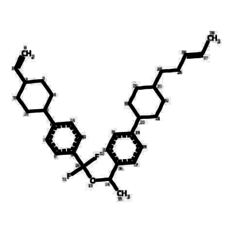 C=CC1CCC(c2ccc(C(F)(F)OC(C)c3ccc(C4CCC(CC/C=C/C)CC4)cc3)cc2)CC1